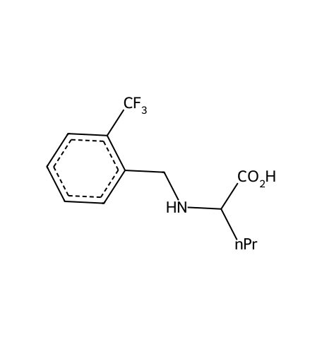 CCCC(NCc1ccccc1C(F)(F)F)C(=O)O